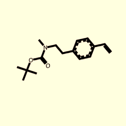 C=Cc1ccc(CCN(C)C(=O)OC(C)(C)C)cc1